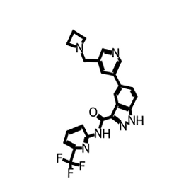 O=C(Nc1cccc(C(F)(F)F)n1)c1n[nH]c2ccc(-c3cncc(CN4CCC4)c3)cc12